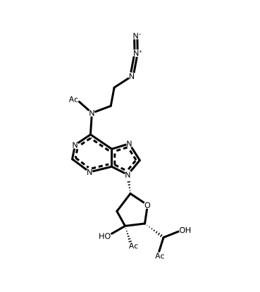 CC(=O)C(O)[C@H]1O[C@@H](n2cnc3c(N(CCN=[N+]=[N-])C(C)=O)ncnc32)C[C@@]1(O)C(C)=O